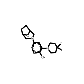 N#Cc1nnc(N2CC3CCC(C2)O3)cc1N1CCC(F)(F)CC1